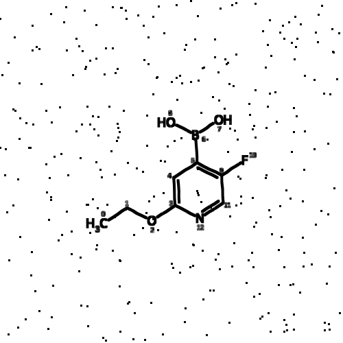 CCOc1cc(B(O)O)c(F)cn1